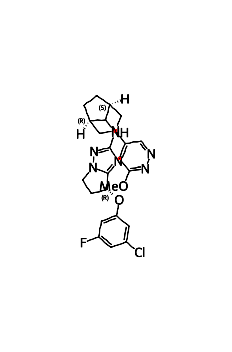 COc1cc(N2C[C@H]3CC[C@@H](C2)C3Nc2nc3n(n2)CC[C@H]3Oc2cc(F)cc(Cl)c2)cnn1